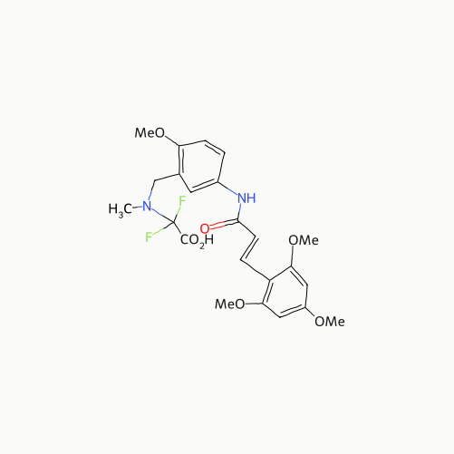 COc1cc(OC)c(C=CC(=O)Nc2ccc(OC)c(CN(C)C(F)(F)C(=O)O)c2)c(OC)c1